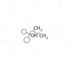 CCCC(C)CC(O)(C1CCCCC1)C1CCCC1